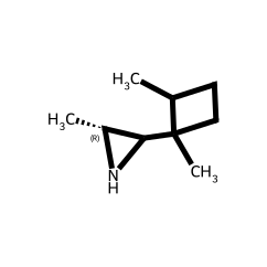 CC1CCC1(C)C1N[C@@H]1C